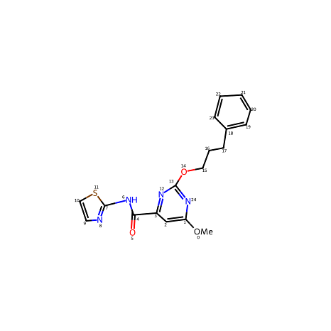 COc1cc(C(=O)Nc2nccs2)nc(OCCCc2ccccc2)n1